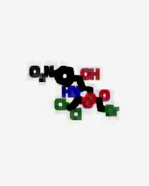 O=C(CBr)OC[C@@H](NC(=O)C(Cl)Cl)[C@H](O)c1ccc([N+](=O)[O-])cc1